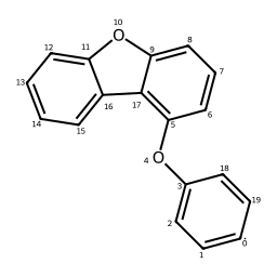 [c]1ccc(Oc2cccc3oc4ccccc4c23)cc1